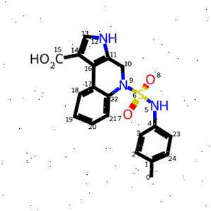 Cc1ccc(NS(=O)(=O)N2Cc3[nH]cc(C(=O)O)c3-c3ccccc32)cc1